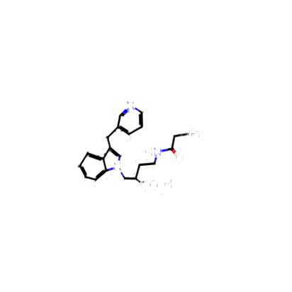 CC(C)CC(=O)NCCC(Cn1cc(Cc2cccnc2)c2ccccc21)C(=O)O